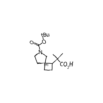 CC(C)(C)OC(=O)N1CC[C@@]2(CCC2C(C)(C)C(=O)O)C1